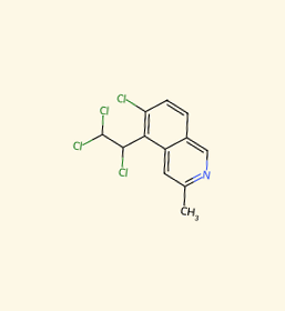 Cc1cc2c(C(Cl)C(Cl)Cl)c(Cl)ccc2cn1